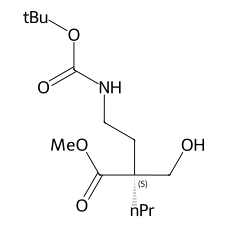 CCC[C@@](CO)(CCNC(=O)OC(C)(C)C)C(=O)OC